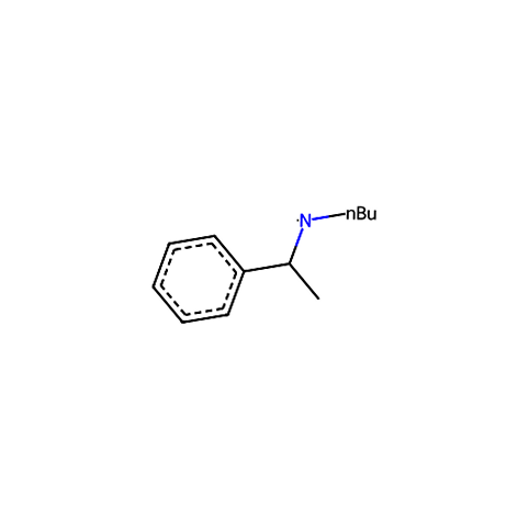 CCCC[N]C(C)c1ccccc1